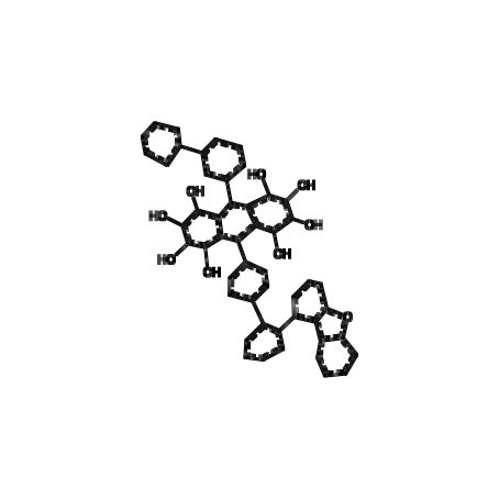 Oc1c(O)c(O)c2c(-c3cccc(-c4ccccc4)c3)c3c(O)c(O)c(O)c(O)c3c(-c3ccc(-c4ccccc4-c4cccc5oc6ccccc6c45)cc3)c2c1O